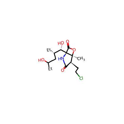 CCC(O)C[C@H](CC)[C@H](O)[C@@]12NC(=O)[C@H](CCCl)[C@]1(C)OC2=O